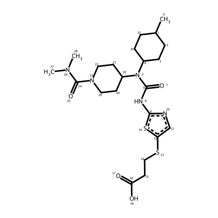 CC1CCC(N(C(=O)Nc2ncc(SCCC(=O)O)s2)C2CCN(C(=O)N(C)C)CC2)CC1